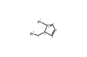 CC(C)Cn1ccc[n+]1C(C)C